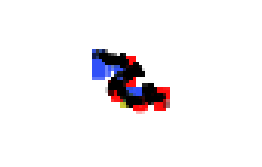 CNCCCC[C@@H](C)C(=O)N[C@H](C(=O)N(C)[C@H](C[C@@H](OC(C)=O)c1nc(C(=O)NC23CC(C(=O)OC)(C2)[C@@H]3C)cs1)C(C)C)C1CC1